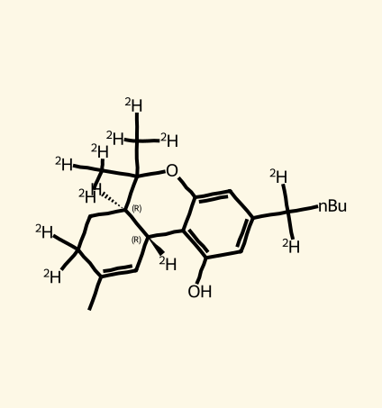 [2H]C1([2H])C[C@H]2C(C([2H])([2H])[2H])(C([2H])([2H])[2H])Oc3cc(C([2H])([2H])CCCC)cc(O)c3[C@]2([2H])C=C1C